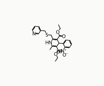 CCOC(=O)C1=C(C)NC(CSCc2cccnc2)=C(C(=O)OCC)C1c1ccccc1[N+](=O)[O-]